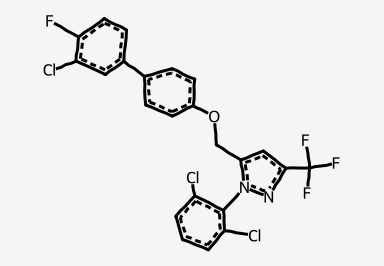 Fc1ccc(-c2ccc(OCc3cc(C(F)(F)F)nn3-c3c(Cl)cccc3Cl)cc2)cc1Cl